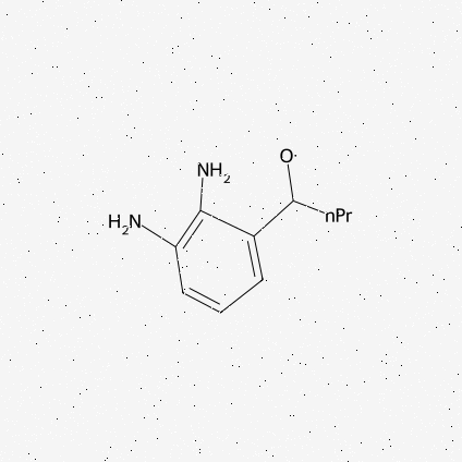 CCCC([O])c1cccc(N)c1N